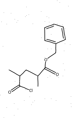 CC(CC(C)C(=O)OCc1ccccc1)C(=O)Cl